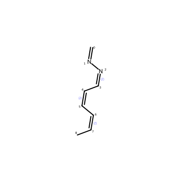 C=N\N=C/C=C\C=C/C